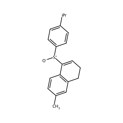 Cc1ccc2c(c1)CCC=C2[S+]([O-])c1ccc(C(C)C)cc1